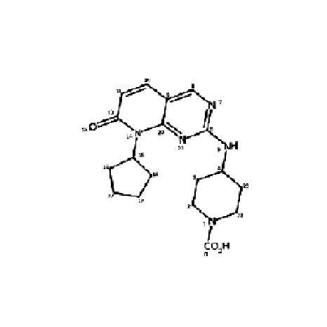 O=C(O)N1CCC(Nc2ncc3ccc(=O)n(C4CCCC4)c3n2)CC1